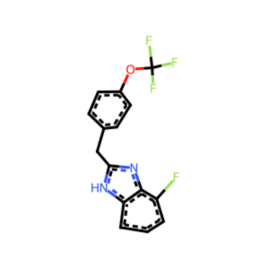 Fc1cccc2[nH]c(Cc3ccc(OC(F)(F)F)cc3)nc12